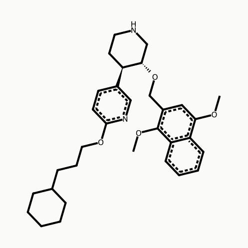 COc1cc(CO[C@H]2CNCC[C@@H]2c2ccc(OCCCC3CCCCC3)nc2)c(OC)c2ccccc12